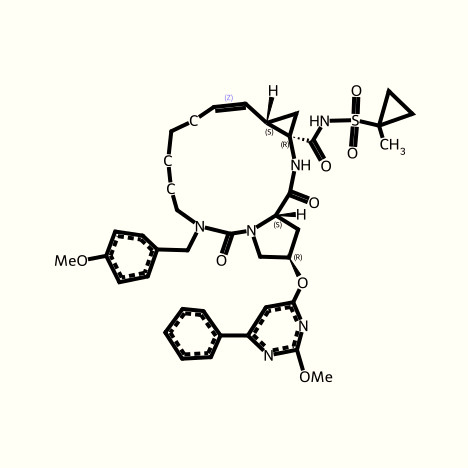 COc1ccc(CN2CCCCC/C=C\[C@@H]3C[C@@]3(C(=O)NS(=O)(=O)C3(C)CC3)NC(=O)[C@@H]3C[C@@H](Oc4cc(-c5ccccc5)nc(OC)n4)CN3C2=O)cc1